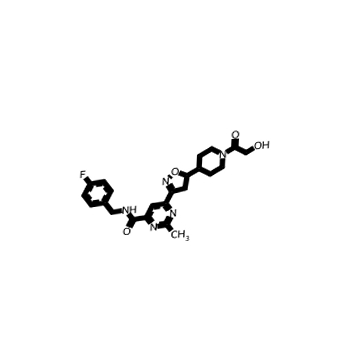 Cc1nc(C(=O)NCc2ccc(F)cc2)cc(C2=NOC(C3CCN(C(=O)CO)CC3)C2)n1